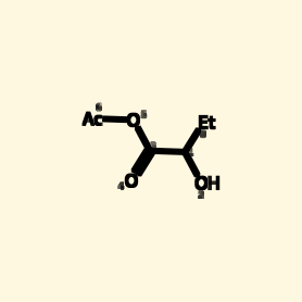 CCC(O)C(=O)OC(C)=O